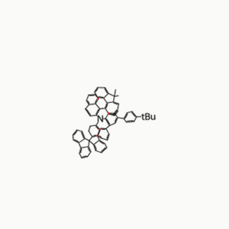 CC(C)(C)c1ccc(-c2ccc(N(C3=CC4=C(CC3)C3(c5ccccc54)c4ccccc4-c4ccccc43)c3ccc4ccccc4c3C3=C4C(=CC#CC3)C(C)(C)c3ccccc34)c(-c3ccccc3)c2)cc1